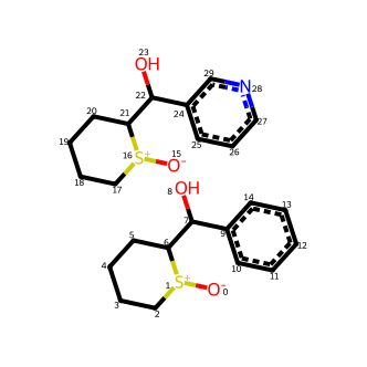 [O-][S+]1CCCCC1C(O)c1ccccc1.[O-][S+]1CCCCC1C(O)c1cccnc1